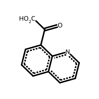 O=C(O)C(=O)c1cccc2cccnc12